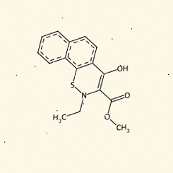 CCN1Sc2c(ccc3ccccc23)C(O)=C1C(=O)OC